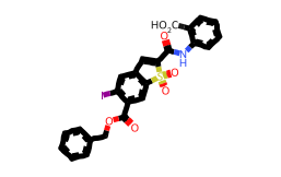 O=C(Nc1ccccc1C(=O)O)C1=Cc2cc(I)c(C(=O)OCc3ccccc3)cc2S1(=O)=O